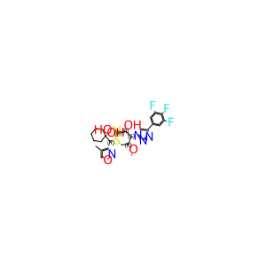 CO[C@H]1C[SH]([C@H](c2nocc2C)C2(O)CCCCC2)[C@H](CO)[C@H](O)[C@@H]1n1cc(-c2cc(F)c(F)c(F)c2)nn1